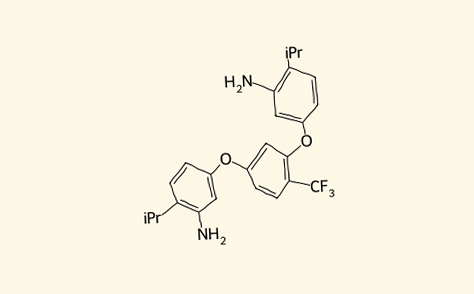 CC(C)c1ccc(Oc2ccc(C(F)(F)F)c(Oc3ccc(C(C)C)c(N)c3)c2)cc1N